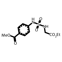 CCOC(=O)CNS(=O)(=O)Nc1ccc(C(=O)OC)cc1